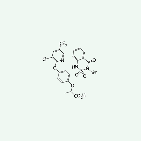 CC(C)N1C(=O)c2ccccc2NS1(=O)=O.CC(Oc1ccc(Oc2ncc(C(F)(F)F)cc2Cl)cc1)C(=O)O